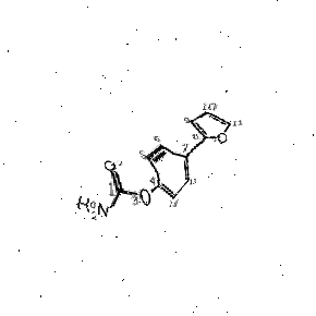 NC(=O)Oc1ccc(-c2ccco2)cc1